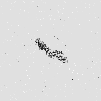 COc1cc2c(Oc3ccc(NC(=O)N4CCN(c5ccccc5)C4=O)cc3F)ccnc2cc1OCC1CCN(C(=O)O)CC1